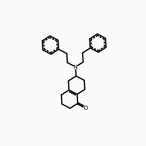 O=C1CCCC2=C1CCC(N(CCc1ccccc1)CCc1ccccc1)C2